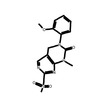 COc1ccccc1N1Cc2cnc(S(C)(=O)=O)nc2N(C)C1=O